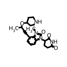 CC(C#Cc1cccc2c1n(C)c(=O)n2C1CCC(=O)NC1=O)OC1CCNCC1